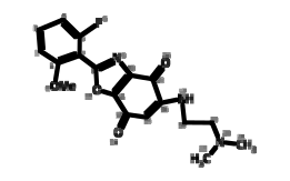 COc1cccc(F)c1-c1nc2c(o1)C(=O)C=C(NCCN(C)C)C2=O